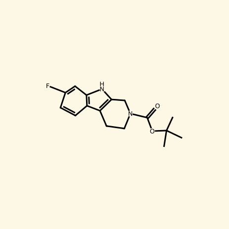 CC(C)(C)OC(=O)N1CCc2c([nH]c3cc(F)ccc23)C1